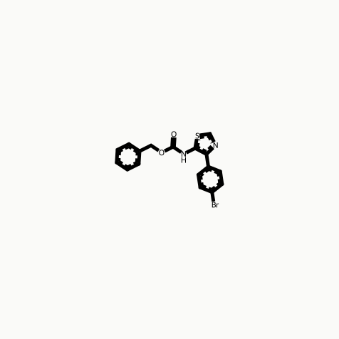 O=C(Nc1scnc1-c1ccc(Br)cc1)OCc1ccccc1